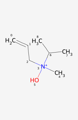 C=CC[N+](C)(O)C(C)C